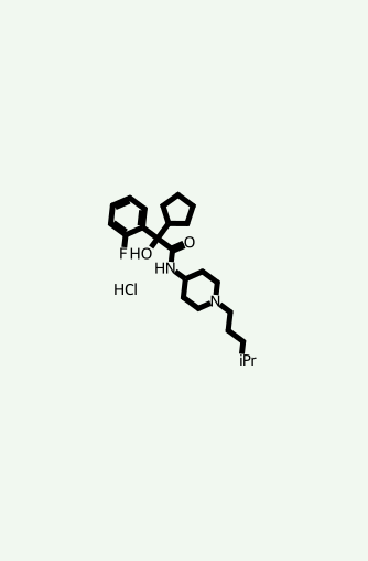 CC(C)CCCN1CCC(NC(=O)C(O)(c2ccccc2F)C2CCCC2)CC1.Cl